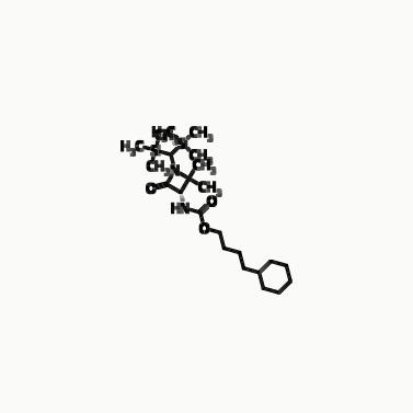 CC1(C)[C@H](NC(=O)OCCCCC2CCCCC2)C(=O)N1C([Si](C)(C)C)[Si](C)(C)C